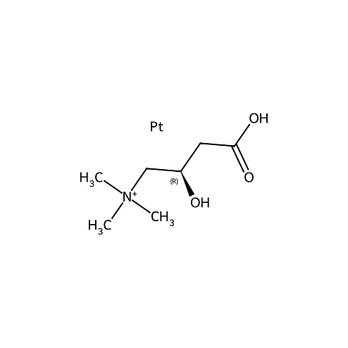 C[N+](C)(C)C[C@H](O)CC(=O)O.[Pt]